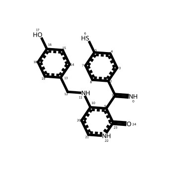 N=C(c1ccc(S)cc1)c1c(NCc2ccc(O)cc2)cc[nH]c1=O